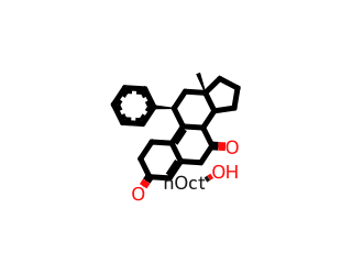 CCCCCCCCO.C[C@@]12CCCC1C1C(=O)CC3=CC(=O)CCC3=C1[C@@H](c1ccccc1)C2